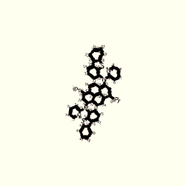 CC(C)c1cc(N(c2ccccn2)c2cccc3c2sc2ccccc23)c2ccc3c(C(C)C)cc(N(c4ccccn4)c4cccc5c4sc4ccccc45)c4ccc1c2c34